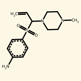 C=CC(N1CCN(C)CC1)S(=O)(=O)c1ccc(N)cc1